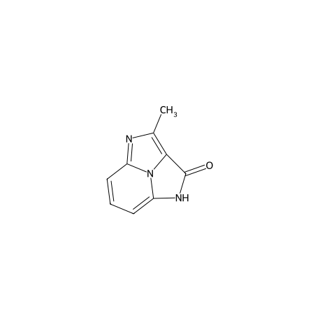 Cc1nc2cccc3[nH]c(=O)c1n23